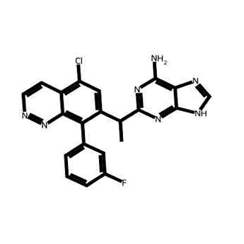 CC(c1nc(N)c2nc[nH]c2n1)c1cc(Cl)c2ccnnc2c1-c1cccc(F)c1